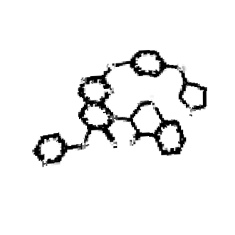 O=C1c2ccccc2NCC1n1c(=O)c(Nc2cccnc2)cc2cnc(Nc3ccc(NC4CCNC4)cc3)nc21